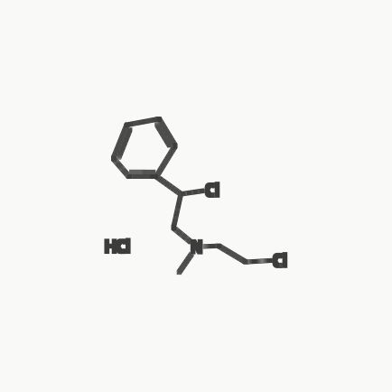 CN(CCCl)CC(Cl)c1ccccc1.Cl